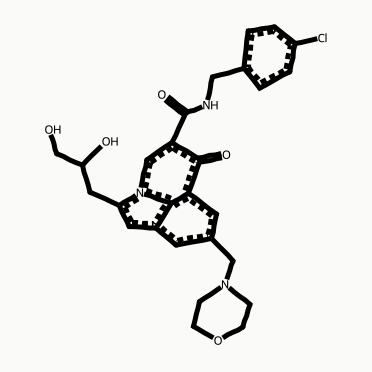 O=C(NCc1ccc(Cl)cc1)c1cn2c(CC(O)CO)cc3cc(CN4CCOCC4)cc(c1=O)c32